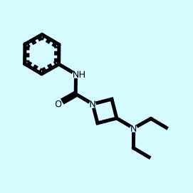 CCN(CC)C1CN(C(=O)Nc2ccccc2)C1